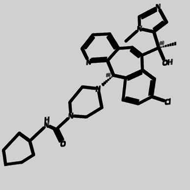 Cn1cncc1[C@@](C)(O)C1=Cc2cccnc2[C@@H](N2CCN(C(=O)NC3CCCCC3)CC2)c2ccc(Cl)cc21